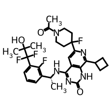 CC(=O)N1CCC(F)(c2cc3c(N[C@H](C)c4cccc(C(F)(F)C(C)(C)O)c4F)nc(=O)[nH]c3c(C3CCC3)n2)CC1